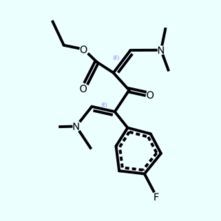 CCOC(=O)/C(=C/N(C)C)C(=O)/C(=C/N(C)C)c1ccc(F)cc1